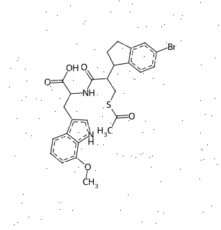 COc1cccc2c(CC(NC(=O)C(CSC(C)=O)C3CCc4cc(Br)ccc43)C(=O)O)c[nH]c12